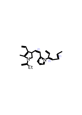 C=CC1=C(C)N(C(=C)CC)CC1/C=C\c1cccn1/C(C=C)=C/C=C/C